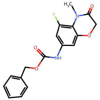 CN1C(=O)COc2cc(NC(=O)OCc3ccccc3)cc(F)c21